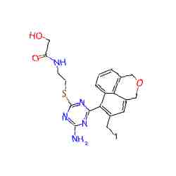 Nc1nc(SCCNC(=O)CO)nc(-c2c(CI)cc3c4c(cccc24)COC3)n1